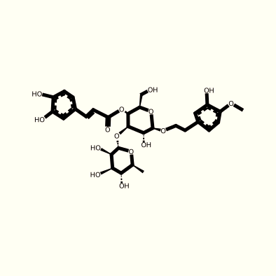 COc1ccc(CCO[C@@H]2O[C@H](CO)[C@@H](OC(=O)/C=C/c3ccc(O)c(O)c3)[C@H](O[C@@H]3O[C@@H](C)[C@H](O)[C@@H](O)[C@H]3O)[C@H]2O)cc1O